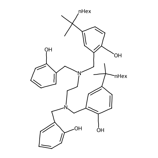 CCCCCCC(C)(C)c1ccc(O)c(CN(CCN(Cc2ccccc2O)Cc2cc(C(C)(C)CCCCCC)ccc2O)Cc2ccccc2O)c1